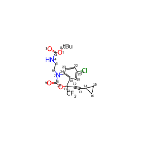 CC(C)(C)OC(=O)NCCN1C(=O)OC(C#CC2CC2)(C(F)(F)F)c2cc(Cl)ccc21